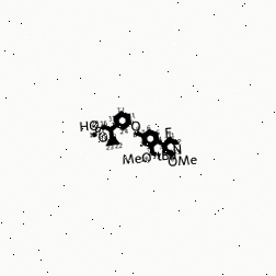 COc1cc(-c2ccc(COc3cccc(C(CP(C)(=O)O)C4CC4)c3)cc2C(OC)C(C)(C)C)c(F)cn1